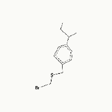 CCC(C)c1ccc(CSCBr)cc1